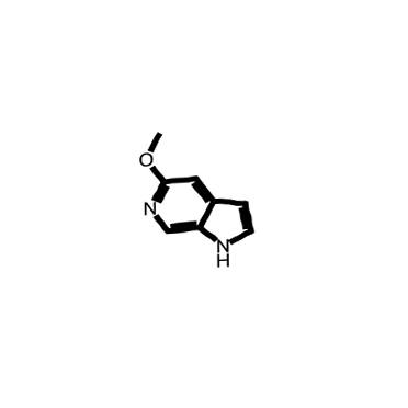 COc1cc2cc[nH]c2cn1